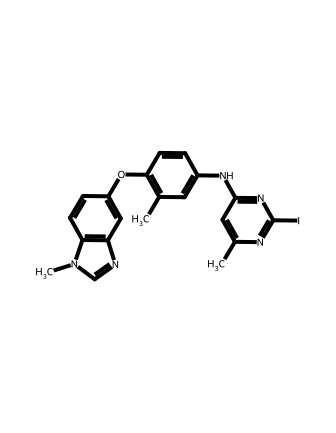 Cc1cc(Nc2ccc(Oc3ccc4c(c3)ncn4C)c(C)c2)nc(I)n1